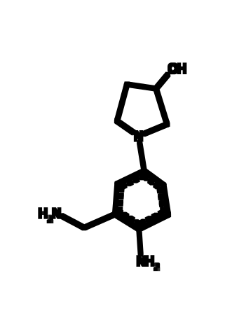 NCc1cc(N2CCC(O)C2)ccc1N